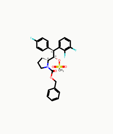 CS(=O)(=O)O[C@@H]([C@@H](c1ccc(F)cc1)c1cccc(F)c1F)[C@H]1CCCN1C(=O)OCc1ccccc1